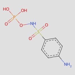 Nc1ccc(S(=O)(=O)NOP(=O)(O)O)cc1